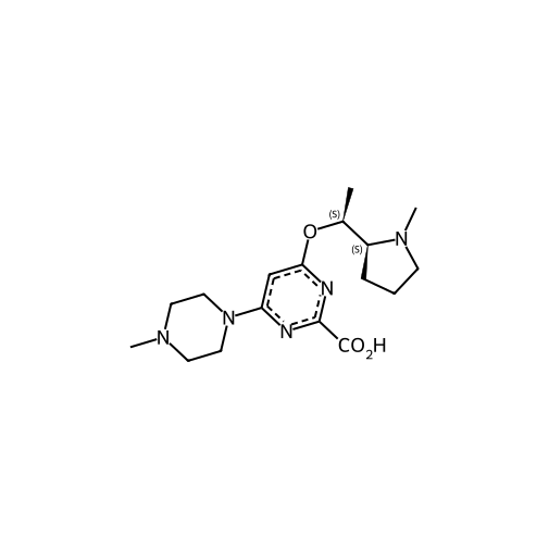 C[C@H](Oc1cc(N2CCN(C)CC2)nc(C(=O)O)n1)[C@@H]1CCCN1C